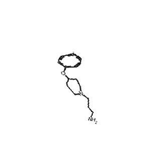 NCCCN1CCC(Oc2cc[c]cc2)CC1